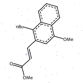 CCCCc1c(/C=C/C(=O)OC)cc(OC)c2ccccc12